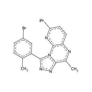 Cc1ccc(Br)cc1-c1nnc2c(C)nc3ccc(C(C)C)nc3n12